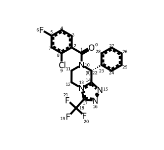 O=C(c1ccc(F)cc1Cl)N1CCn2c(nnc2C(F)(F)F)[C@H]1c1ccccc1